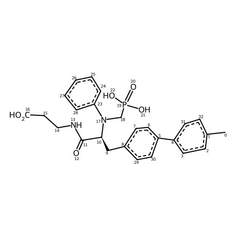 Cc1ccc(-c2ccc(C[C@@H](C(=O)NCCC(=O)O)N(CP(=O)(O)O)c3ccccc3)cc2)cc1